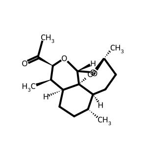 CC(=O)[C@H]1O[C@@H]2O[C@]3(C)CC[C@H]4[C@H](C)CC[C@@H]([C@H]1C)[C@@]24OO3